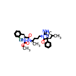 COC(=O)N[C@@H](Cc1ccccc1Cl)C(=O)N[C@@H](C)CCCN1C(=N)N[C@](CC(C)C)(c2ccccc2)C1=O